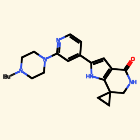 CCC(C)N1CCN(c2cc(-c3cc4c([nH]3)C3(CC3)CNC4=O)ccn2)CC1